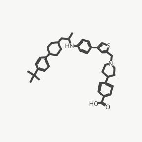 CC(CC1CCC(c2ccc(C(C)(C)C)cc2)CC1)Nc1ccc(-c2csc(CN3CCC(c4ccc(C(=O)O)cc4)CC3)c2)cc1